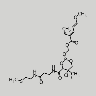 C=C/C(=C\C=C\OC)C(=O)OCOP1OCC(C)(C)C(C(=O)NCCC(=O)NCCSC)O1